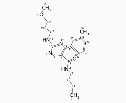 CCCCNC(=O)c1cnc(NCCCOC)nc1-c1cccc(C)c1